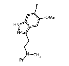 COc1cc2c(CCN(C)C(C)C)n[nH]c2cc1F